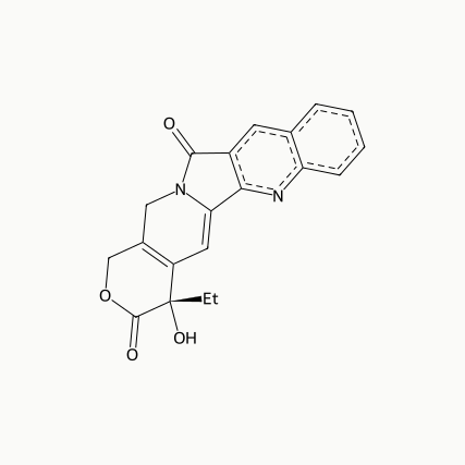 CC[C@@]1(O)C(=O)OCC2=C1C=C1c3nc4ccccc4cc3C(=O)N1C2